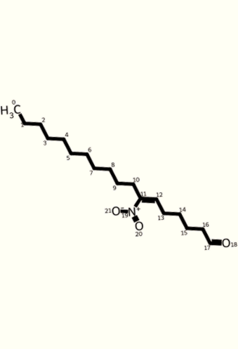 CCCCCCCCCCC/C(=C/CCCCC=O)[N+](=O)[O-]